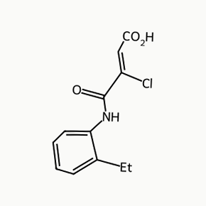 CCc1ccccc1NC(=O)C(Cl)=CC(=O)O